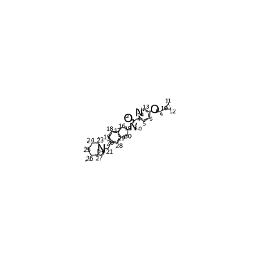 CN(C(=O)c1ccc(OCC2CC2)cn1)[C@@H]1Cc2ccc(CN3CCCCC3)cc2C1